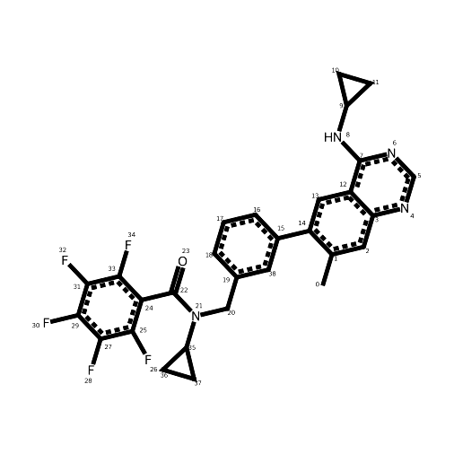 Cc1cc2ncnc(NC3CC3)c2cc1-c1cccc(CN(C(=O)c2c(F)c(F)c(F)c(F)c2F)C2CC2)c1